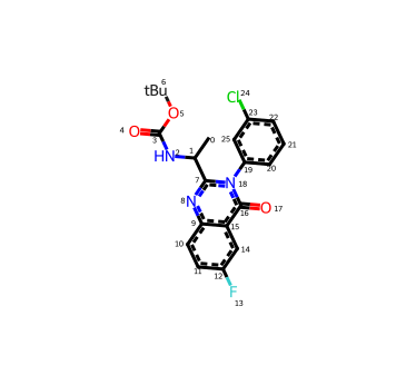 CC(NC(=O)OC(C)(C)C)c1nc2ccc(F)cc2c(=O)n1-c1cccc(Cl)c1